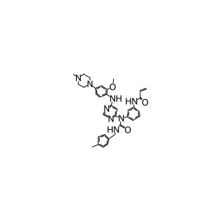 C=CC(=O)Nc1cccc(N(C(=O)NCc2ccc(C)cc2)c2cc(Nc3ccc(N4CCN(C)CC4)cc3OC)ncn2)c1